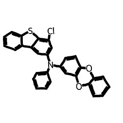 Clc1cc(N(c2ccccc2)c2ccc3c(c2)Oc2ccccc2O3)cc2c1sc1ccccc12